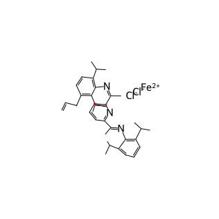 C=CCc1ccc(C(C)C)c(N=C(C)c2cccc(C(C)=Nc3c(C(C)C)cccc3C(C)C)n2)c1C(C)C.[Cl-].[Cl-].[Fe+2]